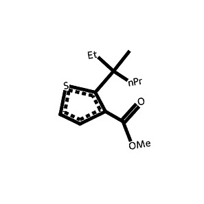 CCCC(C)(CC)c1sccc1C(=O)OC